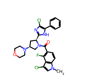 Cn1cc(Cl)c2c(F)c(C(=O)N3C[C@@H](N4CCOCC4)C[C@H]3c3nc(Cl)c(-c4ccccc4)[nH]3)ccc21